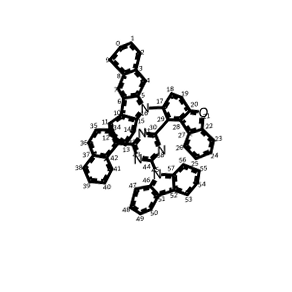 c1ccc2cc3c(cc2c1)c1ccccc1n3-c1ccc2oc3ccccc3c2c1-c1nc(-c2cccc3ccccc23)nc(-n2c3ccccc3c3ccccc32)n1